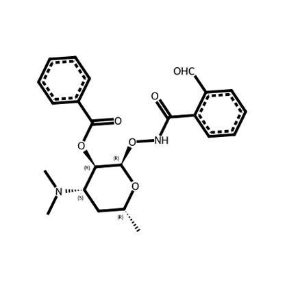 C[C@@H]1C[C@H](N(C)C)[C@@H](OC(=O)c2ccccc2)[C@@H](ONC(=O)c2ccccc2C=O)O1